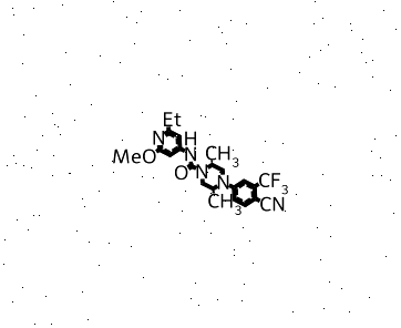 CCc1cc(NC(=O)N2C[C@H](C)N(c3ccc(C#N)c(C(F)(F)F)c3)C[C@H]2C)cc(OC)n1